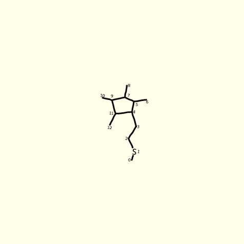 CSCCC1C(C)C(C)C(C)C1C